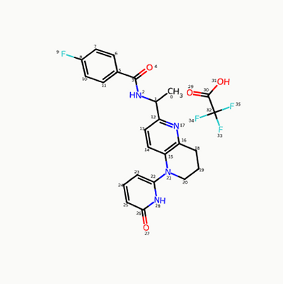 CC(NC(=O)c1ccc(F)cc1)c1ccc2c(n1)CCCN2c1cccc(=O)[nH]1.O=C(O)C(F)(F)F